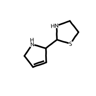 C1=CC(C2NCCS2)NC1